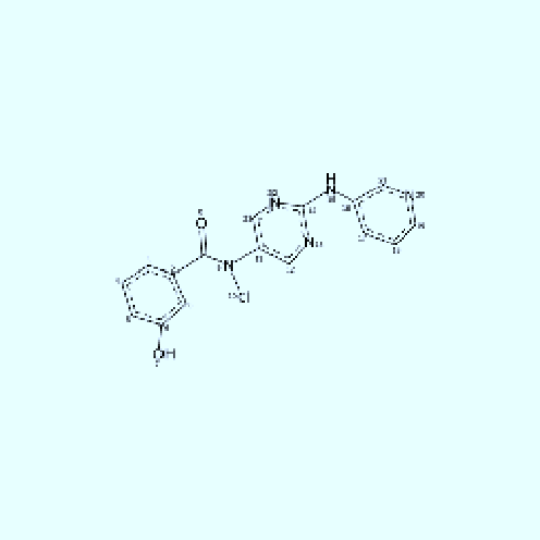 O=C(c1cccc(O)c1)N(Cl)c1cnc(Nc2cccnc2)nc1